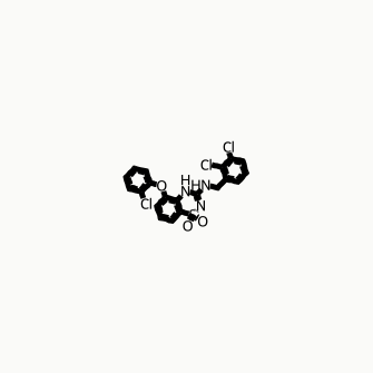 O=S1(=O)N=C(NCc2cccc(Cl)c2Cl)Nc2c(Oc3ccccc3Cl)cccc21